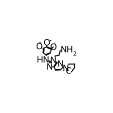 COc1cc(Nc2nc3ccc(N4CCCCC4)nc3n2CCCN)cc(OC)c1OC